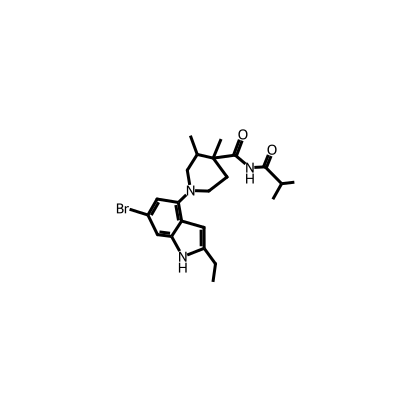 CCc1cc2c(N3CCC(C)(C(=O)NC(=O)C(C)C)C(C)C3)cc(Br)cc2[nH]1